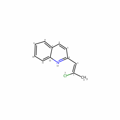 CC(Cl)=Cc1ccc2ccccc2n1